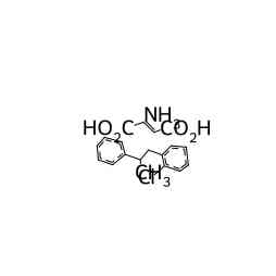 CC(Cc1ccccc1Cl)c1ccccc1.N.O=C(O)C=CC(=O)O